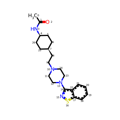 CC(=O)N[C@H]1CC[C@@H](CCN2CCN(c3nsc4ccccc34)CC2)CC1